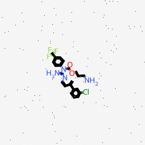 C=C(/C=C\N=C(/N)N(C(=O)OCCCN)c1ccc(C(F)(F)F)cc1)c1cccc(Cl)c1